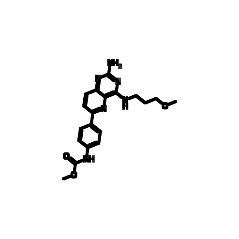 COCCCNc1nc(N)nc2ccc(-c3ccc(NC(=O)OC)cc3)nc12